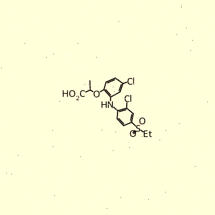 CCS(=O)(=O)c1ccc(Nc2cc(Cl)ccc2OC(C)C(=O)O)c(Cl)c1